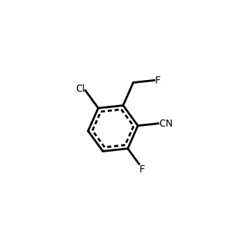 N#Cc1c(F)ccc(Cl)c1CF